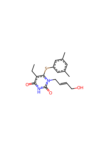 CCc1c(Sc2cc(C)cc(C)c2)n(C/C=C/CO)c(=O)[nH]c1=O